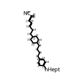 CCCCCCCc1ccc(CCCCC2CCC(CCC=CC=C(F)C#N)CC2)cc1